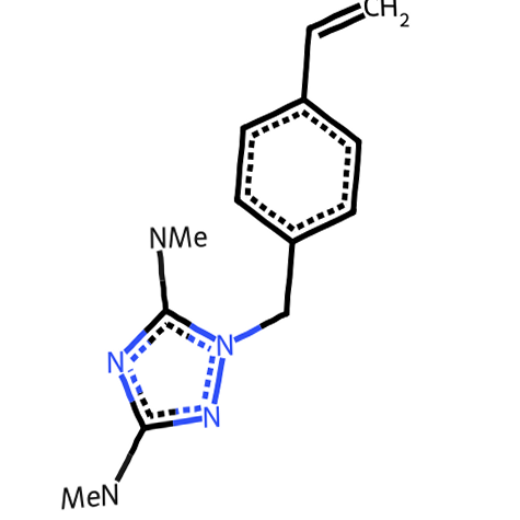 C=Cc1ccc(Cn2nc(NC)nc2NC)cc1